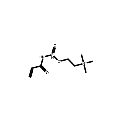 C=CC(=O)N[PH](=O)OCC[N+](C)(C)C